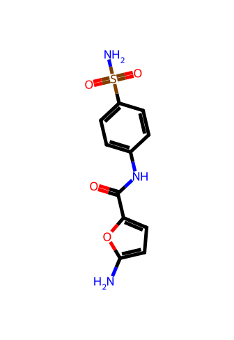 Nc1ccc(C(=O)Nc2ccc(S(N)(=O)=O)cc2)o1